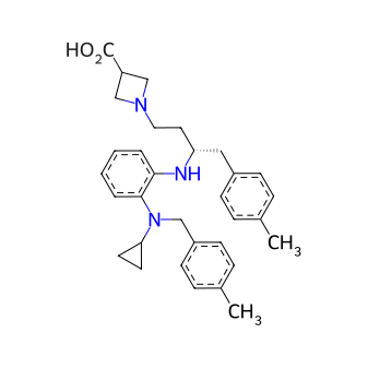 Cc1ccc(C[C@@H](CCN2CC(C(=O)O)C2)Nc2ccccc2N(Cc2ccc(C)cc2)C2CC2)cc1